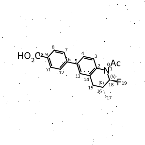 CC(=O)N1c2ccc(-c3ccc(C(=O)O)cc3)cc2C[C@@H](C)[C@@H]1F